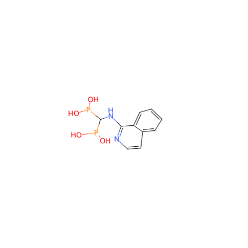 OP(O)C(Nc1nccc2ccccc12)P(O)O